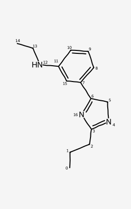 CCCC1=NCC(c2cccc(NCC)c2)=N1